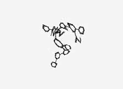 N#Cc1cc(-c2cccc(-c3nc(-c4ccccc4)nc(-c4ccc5c(c4)oc4cccc(-c6cccc(-c7ccccc7)c6)c45)n3)c2)ccc1-c1ccccc1